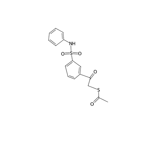 CC(=O)SCC(=O)c1cccc(S(=O)(=O)Nc2ccccc2)c1